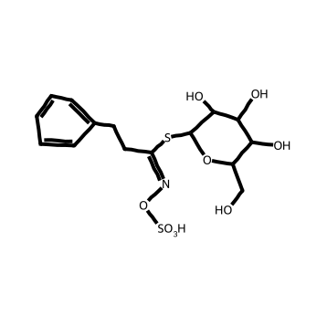 O=S(=O)(O)O/N=C(\CCc1ccccc1)SC1OC(CO)C(O)C(O)C1O